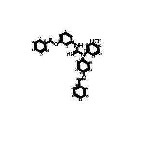 Cl.N=C(Nc1cccc(OCc2ccccc2)c1)N(c1ccccc1)c1ccc(OCc2ccccc2)cc1